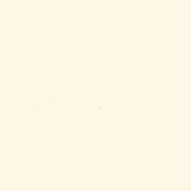 CC(C)(C)[Si](C)(C)OCCN1Cc2ccc(Br)cc2C1